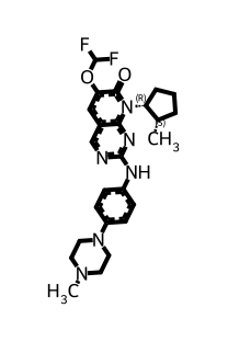 C[C@H]1CCC[C@H]1n1c(=O)c(OC(F)F)cc2cnc(Nc3ccc(N4CCN(C)CC4)cc3)nc21